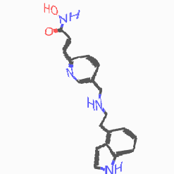 O=C(/C=C/c1ccc(CNCCc2cccc3[nH]ccc23)cn1)NO